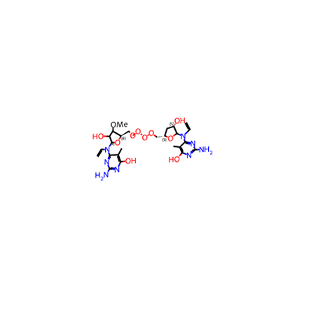 C=CN(c1nc(N)nc(O)c1C)C1O[C@H](COOOOC[C@H]2O[C@@H](N(C=C)c3nc(N)nc(O)c3C)C(O)C2OC)C[C@@H]1O